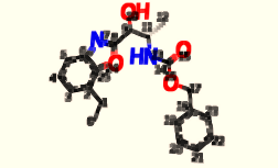 CCc1cccc2nc(C(O)[C@H](C)NC(=O)OCc3ccccc3)oc12